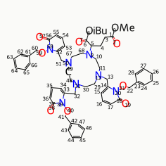 COC(=O)CCC(C(=O)OCC(C)C)N1CCN(Cc2cccc(=O)n2OCc2ccccc2)CCN(Cc2cccc(=O)n2OCc2ccccc2)CCN(Cc2cccc(=O)n2OCc2ccccc2)CC1